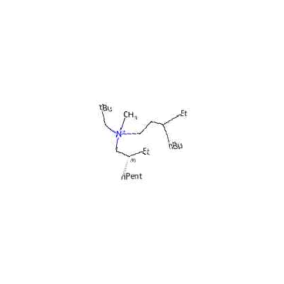 CCCCC[C@@H](CC)C[N+](C)(CCC(CC)CCCC)CC(C)(C)C